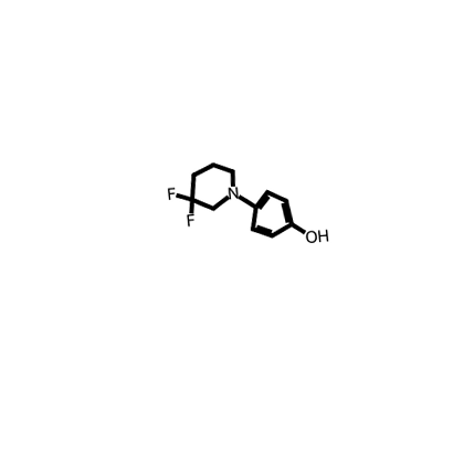 Oc1ccc(N2CCCC(F)(F)C2)cc1